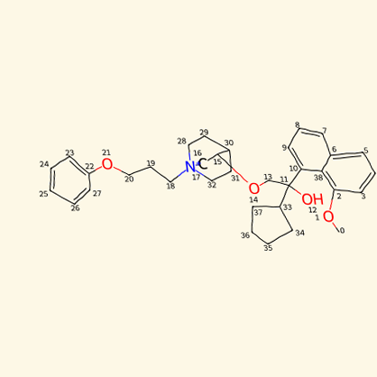 COc1cccc2cccc(C(O)(COC3C[N+]4(CCCOc5ccccc5)CCC3CC4)C3CCCC3)c12